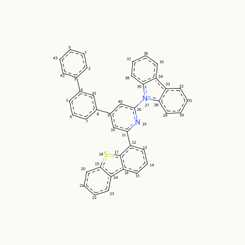 c1ccc(-c2cccc(-c3cc(-c4cccc5c4sc4ccccc45)nc(-n4c5ccccc5c5ccccc54)c3)c2)cc1